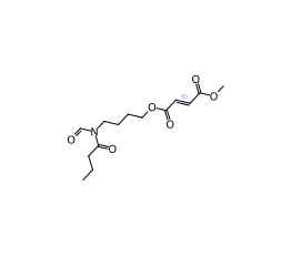 CCCC(=O)N(C=O)CCCCOC(=O)/C=C/C(=O)OC